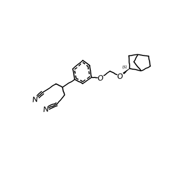 N#CCC(CC#N)c1cccc(OCO[C@H]2CC3CCC2C3)c1